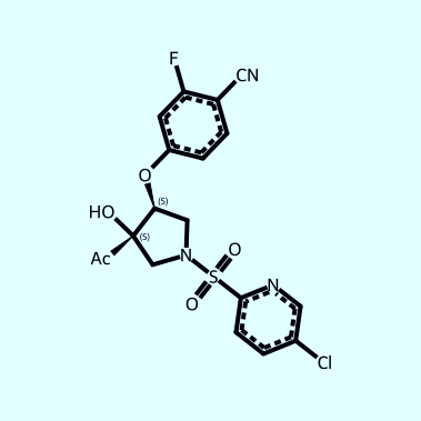 CC(=O)[C@]1(O)CN(S(=O)(=O)c2ccc(Cl)cn2)C[C@@H]1Oc1ccc(C#N)c(F)c1